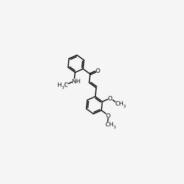 CNc1ccccc1C(=O)C=Cc1cccc(OC)c1OC